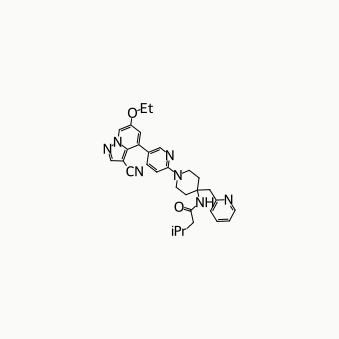 CCOc1cc(-c2ccc(N3CCC(Cc4ccccn4)(NC(=O)CC(C)C)CC3)nc2)c2c(C#N)cnn2c1